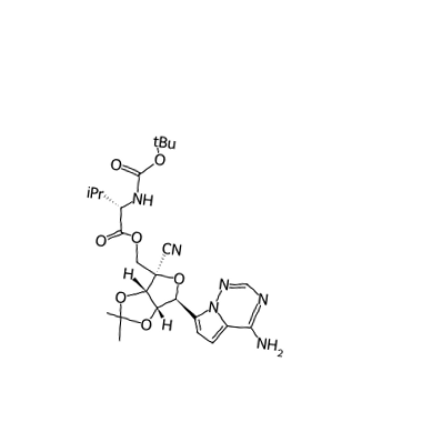 CC(C)[C@H](NC(=O)OC(C)(C)C)C(=O)OC[C@@]1(C#N)O[C@@H](c2ccc3c(N)ncnn23)[C@@H]2OC(C)(C)O[C@@H]21